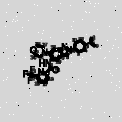 CC(C)[C@H]1CC[C@H](n2cc3cc(NC(=O)c4cccc(C(F)(F)F)n4)c(N4CCOCC4)cc3n2)CC1